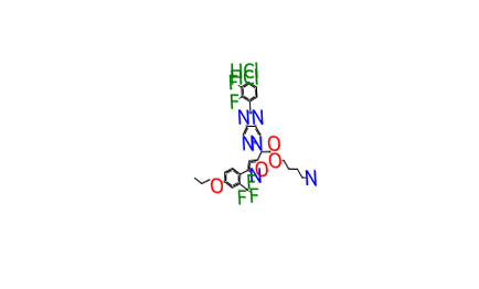 CCCOc1ccc(-c2cc(C(C(=O)OCCCCN(C)C)n3cc4nc(-c5cccc(F)c5F)nc-4cn3)on2)c(C(F)(F)F)c1.Cl.Cl